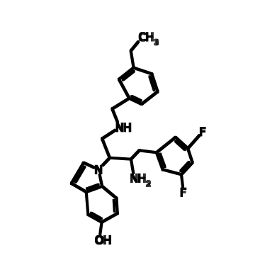 CCc1cccc(CNCC(C(N)Cc2cc(F)cc(F)c2)n2ccc3cc(O)ccc32)c1